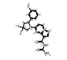 NC(=O)NC(=O)c1cnn2ccc(N3CC(F)(F)CC3c3cccc(F)c3)nc12